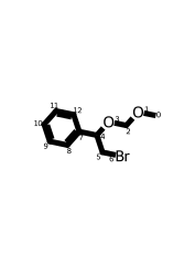 COCOC(CBr)c1ccccc1